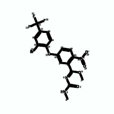 CNC(=O)N=C(OC)c1cc(Oc2ccc(C(F)(F)F)cc2Br)ccc1[N+](=O)[O-]